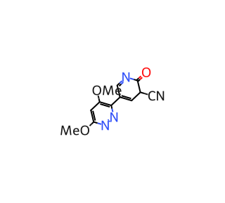 COc1cc(OC)c(C2=CC(C#N)C(=O)N=C2)nn1